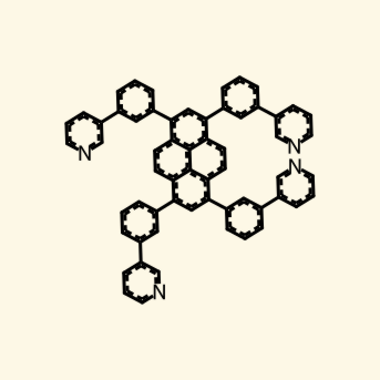 c1cncc(-c2cccc(-c3cc(-c4cccc(-c5cccnc5)c4)c4ccc5c(-c6cccc(-c7cccnc7)c6)cc(-c6cccc(-c7cccnc7)c6)c6ccc3c4c65)c2)c1